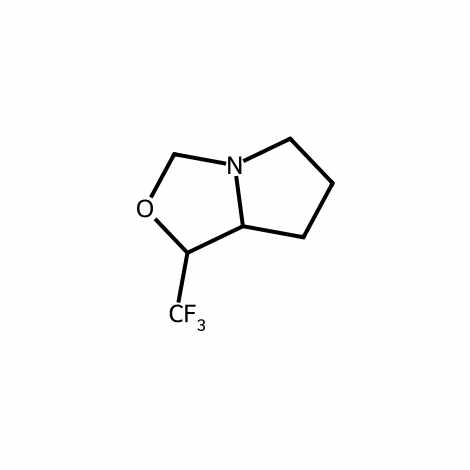 FC(F)(F)C1OCN2CCCC12